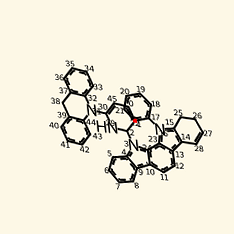 C1=CC(n2c3ccccc3c3ccc4c5c(n(-c6ccccc6)c4c32)CCC=C5)NC(N2c3ccccc3Cc3ccccc32)=C1